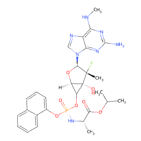 CNc1nc(N)nc2c1ncn2[C@@H]1O[C@@H]2C(O[P@@](=O)(N[C@@H](C)C(=O)OC(C)C)Oc3cccc4ccccc34)[C@]2(O)[C@@]1(C)F